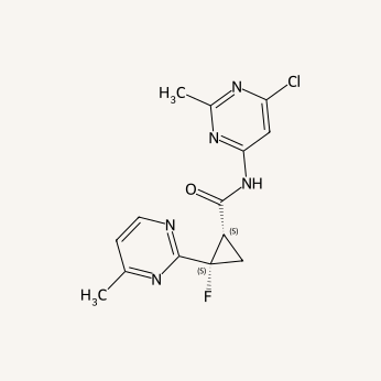 Cc1ccnc([C@]2(F)C[C@H]2C(=O)Nc2cc(Cl)nc(C)n2)n1